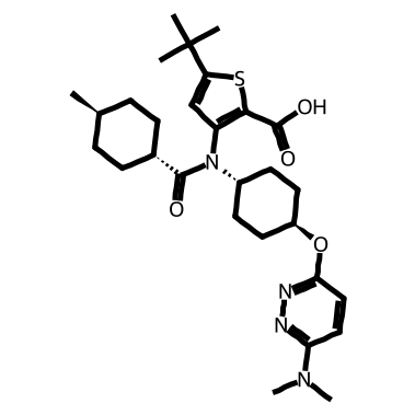 CN(C)c1ccc(O[C@H]2CC[C@H](N(c3cc(C(C)(C)C)sc3C(=O)O)C(=O)[C@H]3CC[C@H](C)CC3)CC2)nn1